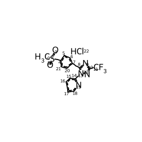 CS(=O)(=O)c1ccc(-c2nc(C(F)(F)F)nn2-c2ccccn2)cc1.Cl